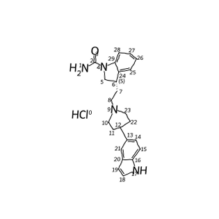 Cl.NC(=O)N1C[C@@H](CCN2CCC(c3ccc4[nH]ccc4c3)CC2)c2ccccc21